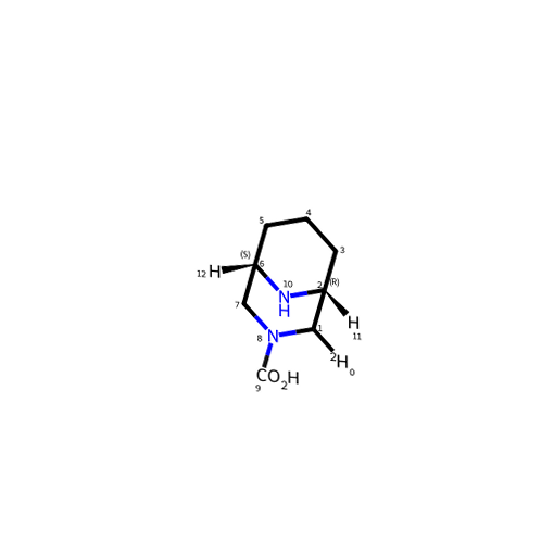 [2H]C1[C@H]2CCC[C@@H](CN1C(=O)O)N2